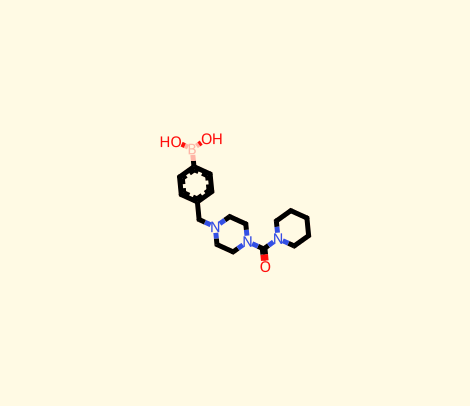 O=C(N1CCCCC1)N1CCN(Cc2ccc(B(O)O)cc2)CC1